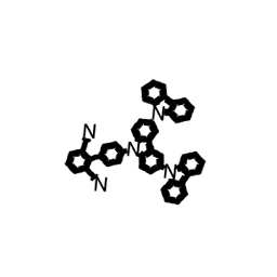 N#Cc1cccc(C#N)c1-c1ccc(-n2c3ccc(-n4c5ccccc5c5ccccc54)cc3c3cc(-n4c5ccccc5c5ccccc54)ccc32)cc1